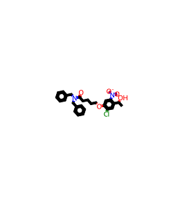 CC(O)c1cc(Cl)c(OCCCCC(=O)N(Cc2ccccc2)Cc2ccccc2)cc1[N+](=O)[O-]